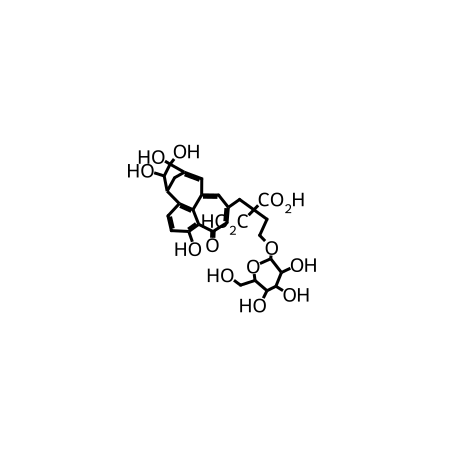 O=C(O)C(CCOC1OC(CO)C(O)C(O)C1O)(Cc1cc2c3c(ccc(O)c3c(=O)c1)C1CC(=C2)C(O)(O)C1O)C(=O)O